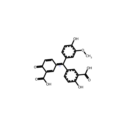 COc1cc(/C(=C2\C=CC(=O)C(C(=O)O)=C2)c2ccc(O)c(C(=O)O)c2)ccc1O